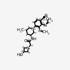 C=Nc1c(N2C[C@@H](C)C[C@@H](NC(=O)CN3CC(O)C3)C2)ccc(C#N)c1/N=C\C